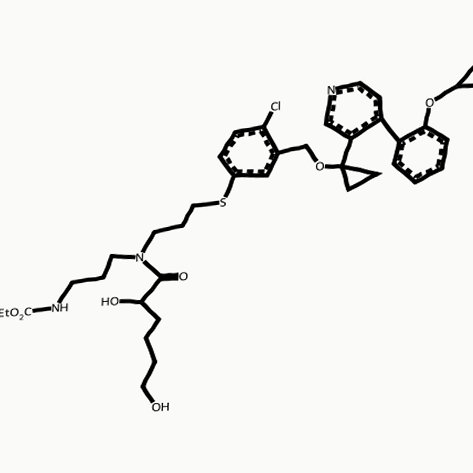 CCOC(=O)NCCCN(CCCSc1ccc(Cl)c(COC2(c3cnccc3-c3ccccc3OC3CC3)CC2)c1)C(=O)C(O)CCCCO